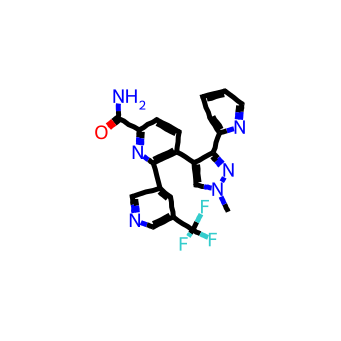 Cn1cc(-c2ccc(C(N)=O)nc2-c2cncc(C(F)(F)F)c2)c(-c2ccccn2)n1